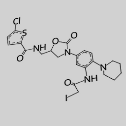 O=C(CI)Nc1cc(N2CC(CNC(=O)c3ccc(Cl)s3)OC2=O)ccc1N1CCCCC1